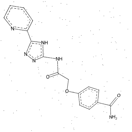 NC(=O)c1ccc(OCC(=O)Nc2nnc(-c3ccccn3)[nH]2)cc1